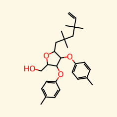 C=CC(C)(C)CC(C)(C)CC1OC(CO)C(Oc2ccc(C)cc2)C1Oc1ccc(C)cc1